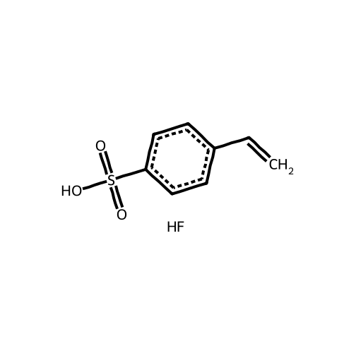 C=Cc1ccc(S(=O)(=O)O)cc1.F